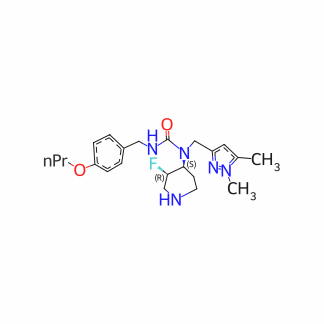 CCCOc1ccc(CNC(=O)N(Cc2cc(C)n(C)n2)[C@H]2CCNC[C@H]2F)cc1